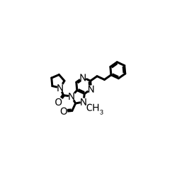 CN1c2nc(CCc3ccccc3)ncc2N(C(=O)N2CCCC2)C1C=O